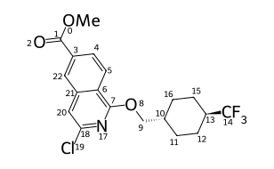 COC(=O)c1ccc2c(OC[C@H]3CC[C@H](C(F)(F)F)CC3)nc(Cl)cc2c1